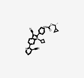 C[C@@H](OC(=O)Nc1ccc(-c2c(C#N)c3ccc(-c4ncccc4C#N)cc3n2C2CCC2)cc1)C1CC1